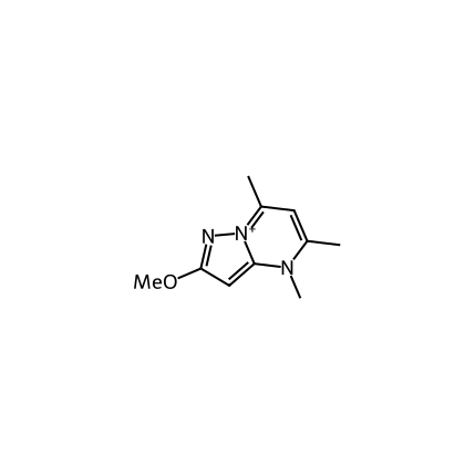 COc1cc2n(C)c(C)cc(C)[n+]-2n1